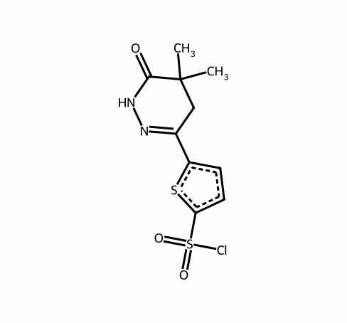 CC1(C)CC(c2ccc(S(=O)(=O)Cl)s2)=NNC1=O